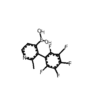 Cc1nccc(B(O)O)c1-c1c(F)c(F)c(F)c(F)c1F